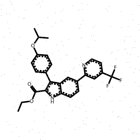 CCOC(=O)c1[nH]c2ccc(-c3cc(C(F)(F)F)ccn3)cc2c1-c1ccc(OC(C)C)cc1